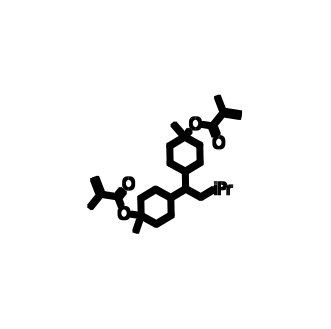 C=C(C)C(=O)OC1(C)CCC(C(CC(C)C)C2CCC(C)(OC(=O)C(=C)C)CC2)CC1